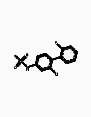 CS(=O)(=O)Nc1ccc(-c2ccccc2F)c(Cl)c1